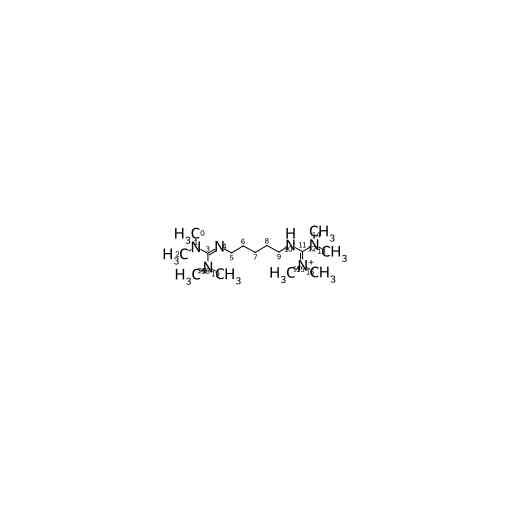 CN(C)C(=NCCCCCNC(N(C)C)=[N+](C)C)N(C)C